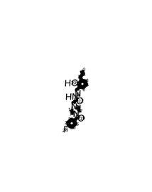 C=CCc1cccc(/C=N/NC(=O)CN2CCN(C(=O)c3ccc(F)cc3)CC2)c1O